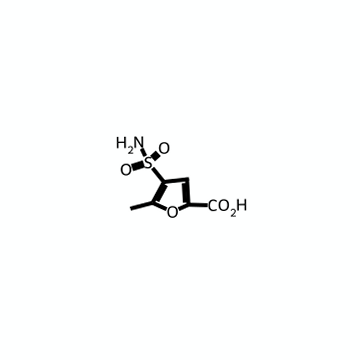 Cc1oc(C(=O)O)cc1S(N)(=O)=O